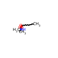 CCCCCCCCCCCC(=O)OC(=O)NC(C)C